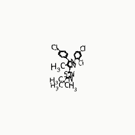 Cc1c(-c2nnc(C(C)(C)C)s2)nn(-c2ccc(Cl)cc2Cl)c1-c1ccc(Cl)cc1